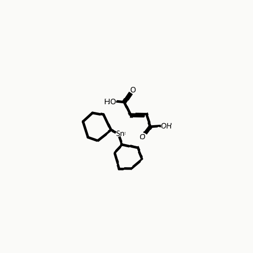 C1CC[CH]([Sn][CH]2CCCCC2)CC1.O=C(O)C=CC(=O)O